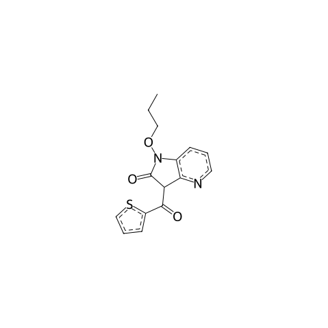 CCCON1C(=O)C(C(=O)c2cccs2)c2ncccc21